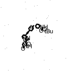 CC(C)(C)OC(=O)N[C@H]1CC[C@H](CN2CCC(C#Cc3cccn4c(N5CCC(=O)NC5=O)cnc34)CC2)CC1